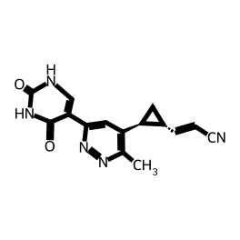 Cc1nnc(-c2c[nH]c(=O)[nH]c2=O)cc1[C@H]1C[C@@H]1/C=C/C#N